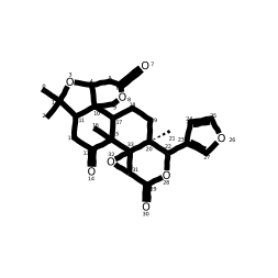 CC1(C)OC2CC(=O)OCC23C1CC(=O)C1(C)C3CC[C@@]2(C)C(c3ccoc3)OC(=O)C3OC312